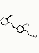 CC(C)C1=C(COc2ccc(CCC(=O)O)c(C(F)(F)F)c2)CCCC1